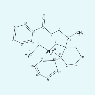 CCCCC1(N(C)CCC(=O)c2ccccc2)CCCCC1(C)c1ccccc1